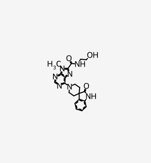 Cn1c(C(=O)NCCO)nc2c(N3CCC4(CC3)C(=O)Nc3ccccc34)ncnc21